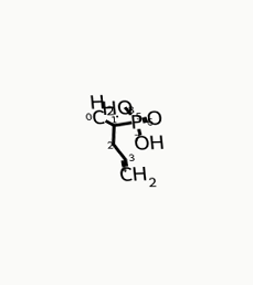 [CH2]C(CC=C)P(=O)(O)O